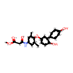 COC(=O)CC(=O)Nc1cc(C)c(Oc2ccc(O)c(-c3ccc(O)cc3)c2)c(C)c1